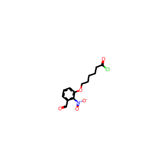 O=Cc1cccc(OCCCCCC(=O)Cl)c1[N+](=O)[O-]